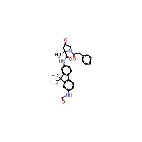 CC1(C)c2cc(NC=O)ccc2-c2ccc(NC(=O)C3(C)CC(=O)CN3C(=O)Cc3ccccc3)cc21